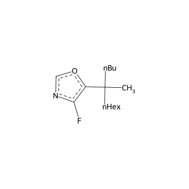 CCCCCCC(C)(CCCC)c1ocnc1F